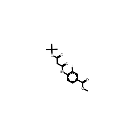 COC(=O)c1ccc(NC(=O)CC(=O)OC(C)(C)C)c(I)c1